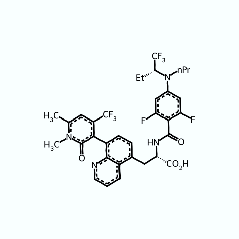 CCCN(c1cc(F)c(C(=O)N[C@@H](Cc2ccc(-c3c(C(F)(F)F)cc(C)n(C)c3=O)c3ncccc23)C(=O)O)c(F)c1)[C@H](CC)C(F)(F)F